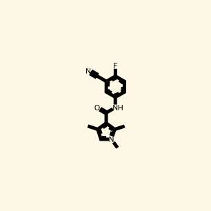 Cc1cn(C)c(C)c1C(=O)Nc1ccc(F)c(C#N)c1